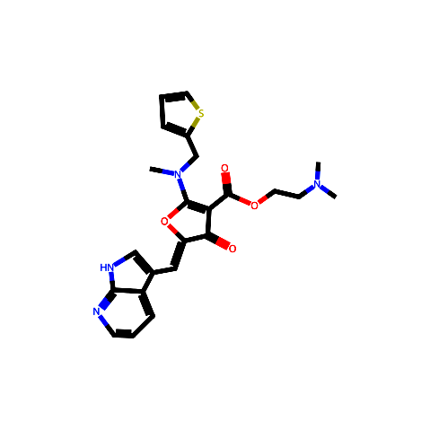 CN(C)CCOC(=O)C1=C(N(C)Cc2cccs2)O/C(=C\c2c[nH]c3ncccc23)C1=O